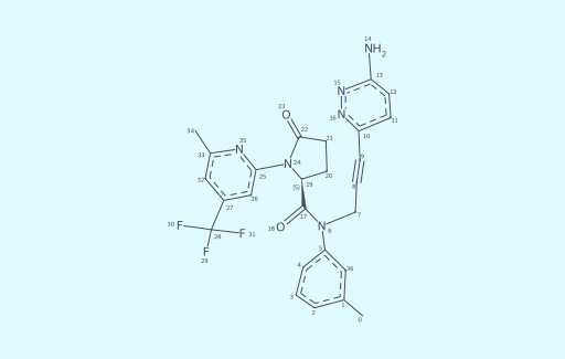 Cc1cccc(N(CC#Cc2ccc(N)nn2)C(=O)[C@@H]2CCC(=O)N2c2cc(C(F)(F)F)cc(C)n2)c1